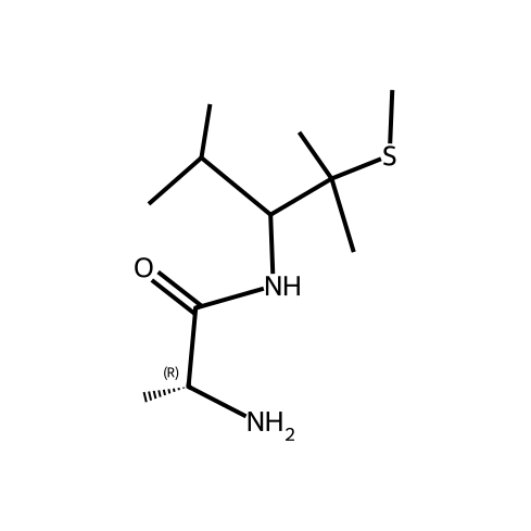 CSC(C)(C)C(NC(=O)[C@@H](C)N)C(C)C